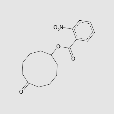 O=C1CCCCC(OC(=O)c2ccccc2[N+](=O)[O-])CCCC1